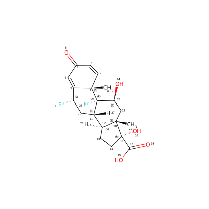 C[C@]12C=CC(=O)C=C1[C@@H](F)C[C@H]1[C@@H]3CC[C@](O)(C(=O)O)[C@@]3(C)C[C@H](O)[C@@]12F